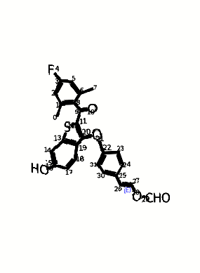 Cc1cc(F)cc(C)c1C(=O)c1sc2cc(O)ccc2c1Oc1ccc(/C=C/OC=O)cc1